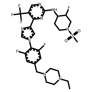 CCN1CCN(Cc2cc(F)c(-n3cnc(-c4nc(NC5CCN(S(C)(=O)=O)CC5F)ncc4C(F)(F)F)c3)c(F)c2)CC1